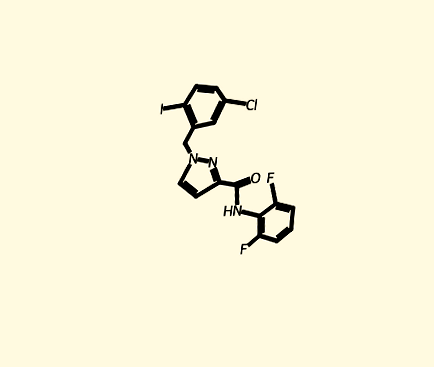 O=C(Nc1c(F)cccc1F)c1ccn(Cc2cc(Cl)ccc2I)n1